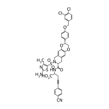 Cc1nc(N)sc1S(=O)(=O)N1Cc2cc3c(cc2C[C@H]1C(=O)NC(CC#Cc1ccc(C#N)cc1)C(=O)O)OC[C@H](c1ccc(OCc2ccc(Cl)c(Cl)c2)cc1)O3